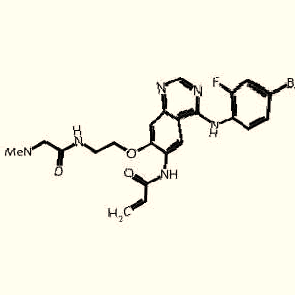 C=CC(=O)Nc1cc2c(Nc3ccc(Br)cc3F)ncnc2cc1OCCNC(=O)CNC